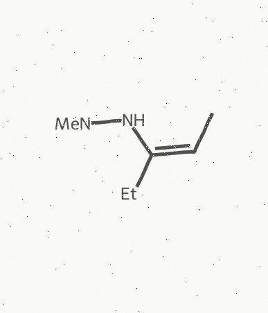 C/C=C(/CC)NNC